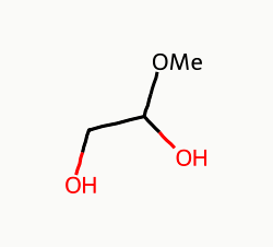 COC(O)CO